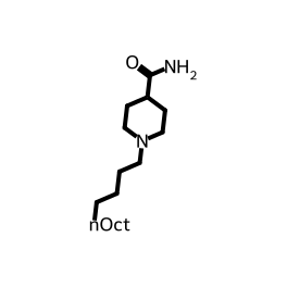 CCCCCCCCCCCCN1CCC(C(N)=O)CC1